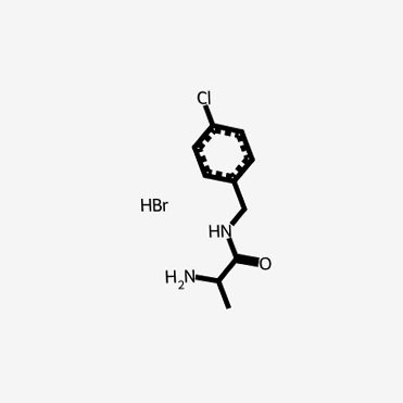 Br.CC(N)C(=O)NCc1ccc(Cl)cc1